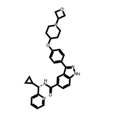 O=C(N[C@H](c1ccccn1)C1CC1)c1ccc2[nH]nc(-c3ccc(OC4CCN(C5COC5)CC4)cc3)c2c1